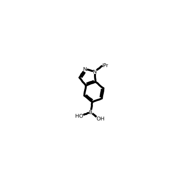 CC(C)n1ncc2cc(B(O)O)ccc21